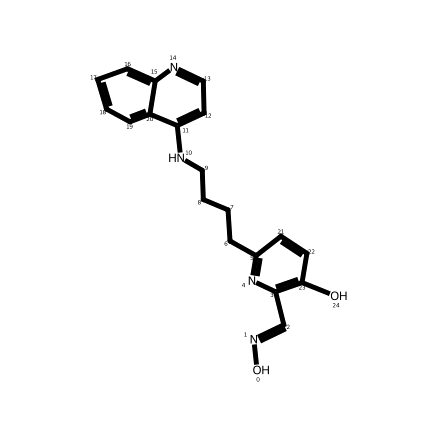 ON=Cc1nc(CCCCNc2ccnc3ccccc23)ccc1O